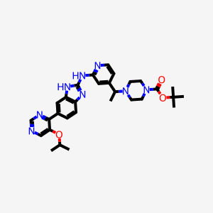 CC(C)Oc1cncnc1-c1ccc2nc(Nc3cc(C(C)N4CCN(C(=O)OC(C)(C)C)CC4)ccn3)[nH]c2c1